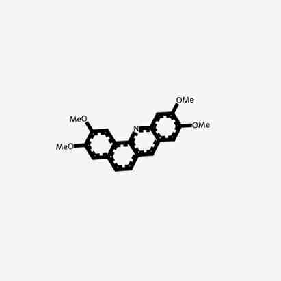 COc1cc2cc3ccc4cc(OC)c(OC)cc4c3nc2cc1OC